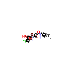 O=C(NCc1ccc(C(F)(F)F)cc1)[C@@H]1CC[C@@H](NC(=O)[C@H]2C[C@@H](O)c3cc(Cl)ccc3O2)CO1